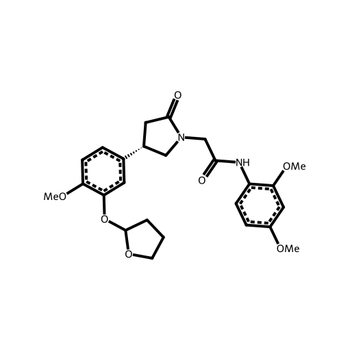 COc1ccc(NC(=O)CN2C[C@H](c3ccc(OC)c(OC4CCCO4)c3)CC2=O)c(OC)c1